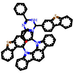 c1ccc(C2=NC(c3cc(-n4c5ccccc5c5ccc6c7ccccc7n(-c7ccccc7)c6c54)c4c(c3)sc3ccccc34)=NC(c3ccc4c(c3)sc3ccccc34)N2)cc1